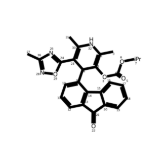 CC1=C(OC(=O)OC(C)C)C(c2cccc3c2-c2ccccc2C3=O)C(c2nc(C)no2)=C(C)N1